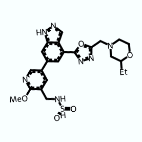 CCC1CN(Cc2nnc(-c3cc(-c4cnc(OC)c(CN[SH](=O)=O)c4)cc4[nH]ncc34)o2)CCO1